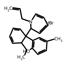 Br.C=CCN1C=CC=CC1C1(c2cc(C)ccc2O)C=CC=CC1CC